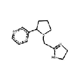 c1cncc(C2CCCN2CC2=NCCN2)c1